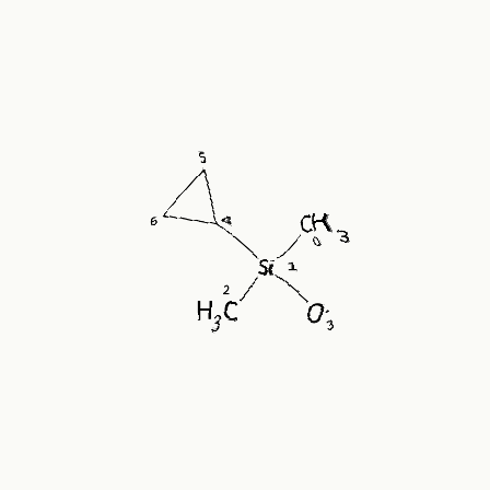 C[Si](C)([O])C1CC1